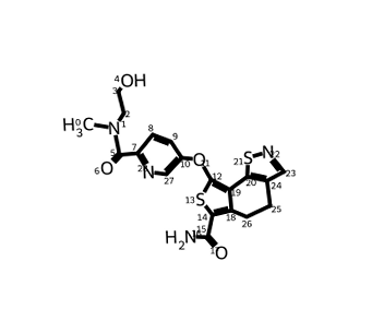 CN(CCO)C(=O)c1ccc(Oc2sc(C(N)=O)c3c2-c2sncc2CC3)cn1